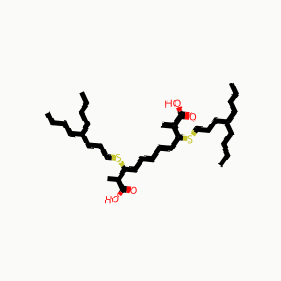 CCCCC(CCCC)CCCSC(CCCCCC(SCCCC(CCCC)CCCC)C(C)C(=O)O)C(C)C(=O)O